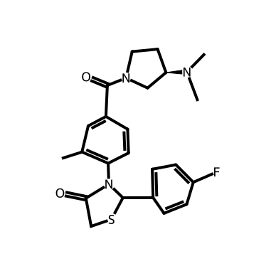 Cc1cc(C(=O)N2CC[C@@H](N(C)C)C2)ccc1N1C(=O)CSC1c1ccc(F)cc1